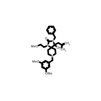 C=C(C)CC1(O)N(Cc2ccccc2)C(=O)N(CCOC)C12CCN(Cc1cc(OC)cc(OC)c1)CC2